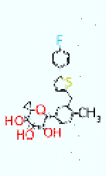 Cc1ccc([C@@H]2OC3(CC3)[C@@H](O)[C@H](O)[C@H]2O)cc1Cc1ccc(-c2ccc(F)cc2)s1